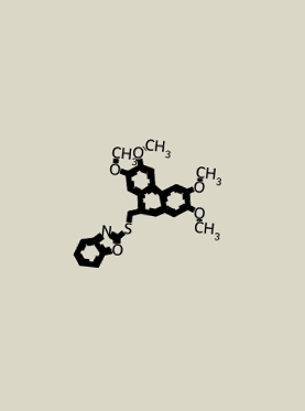 COc1cc2cc(CSc3nc4ccccc4o3)c3cc(OC)c(OC)cc3c2cc1OC